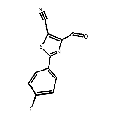 N#Cc1sc(-c2ccc(Cl)cc2)nc1C=O